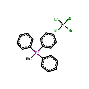 CCC(C)[P+](c1ccccc1)(c1ccccc1)c1ccccc1.[Br][Fe-]([Br])([Br])[Br]